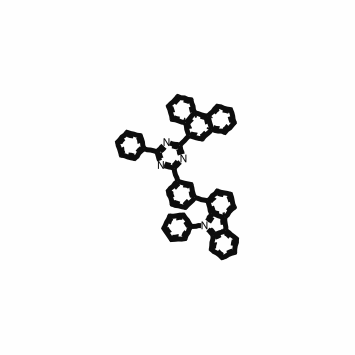 c1ccc(-c2nc(-c3cccc(-c4cccc5c6ccccc6n(-c6ccccc6)c45)c3)nc(-c3cc4ccccc4c4ccccc34)n2)cc1